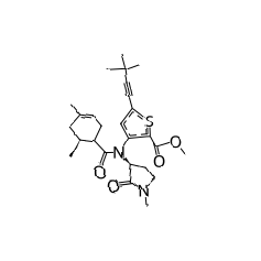 COC(=O)c1sc(C#CC(C)(C)C)cc1N(C(=O)C1CC=C(C)C[C@@H]1C)[C@H]1CCN(C)C1=O